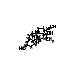 C#C[C@]1(O)CC[C@H]2[C@@H]3CCC4=CC(O)CC[C@@H]4[C@H]3CCC21CC